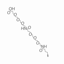 C#CCCCC(=O)NCCOCCOCCOCCC(=O)NCCOCCOCCOCCC(=O)O